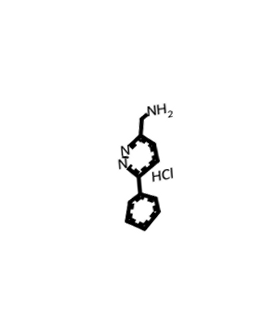 Cl.NCc1ccc(-c2ccccc2)nn1